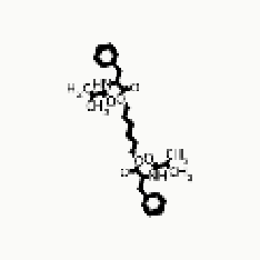 C=C(C)C(=O)NC(Cc1ccccc1)C(=O)OCCCCCCOC(=O)C(Cc1ccccc1)NC(=O)C(C)C